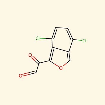 O=CC(=O)c1occ2c(Cl)ccc(Cl)c12